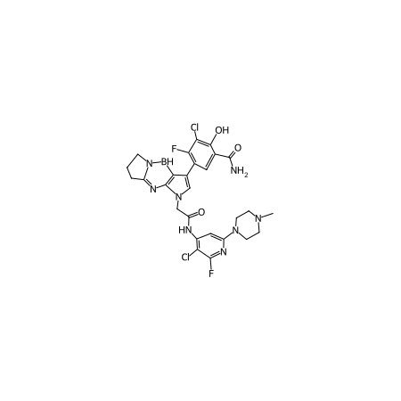 CN1CCN(c2cc(NC(=O)Cn3cc(-c4cc(C(N)=O)c(O)c(Cl)c4F)c4c3N=C3CCCN3B4)c(Cl)c(F)n2)CC1